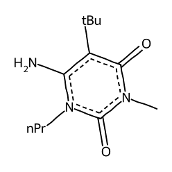 CCCn1c(N)c(C(C)(C)C)c(=O)n(C)c1=O